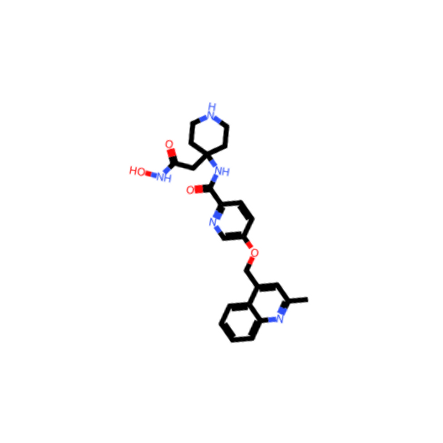 Cc1cc(COc2ccc(C(=O)NC3(CC(=O)NO)CCNCC3)nc2)c2ccccc2n1